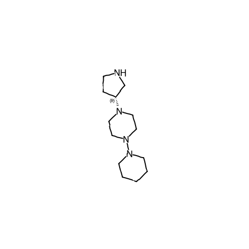 C1CCN(N2CCN([C@@H]3CCNC3)CC2)CC1